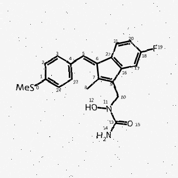 CSc1ccc(C=C2C(C)=C(CN(O)C(N)=O)c3cc(F)ccc32)cc1